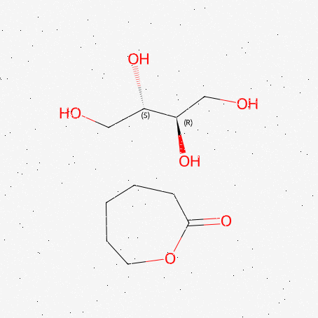 O=C1CCCCCO1.OC[C@@H](O)[C@@H](O)CO